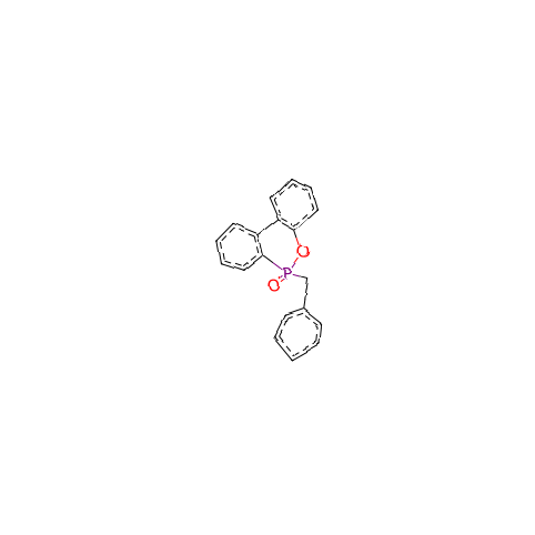 O=P1(Cc2ccccc2)Oc2ccccc2-c2ccccc21